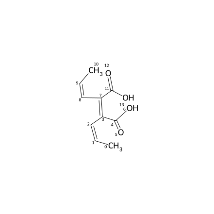 C\C=C/C(C(=O)O)=C(\C=C/C)C(=O)O